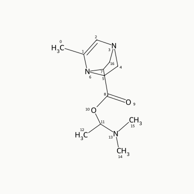 CC1=CN2CCN1C(C(=O)OC(C)N(C)C)C2